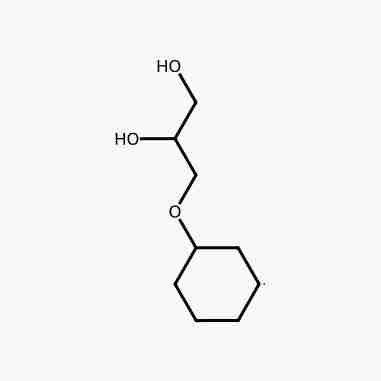 OCC(O)COC1C[CH]CCC1